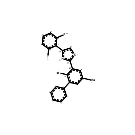 CC(C)(C)c1cc(-c2ccccc2)c(O)c(-c2nc(-c3c(F)cccc3Cl)cs2)c1